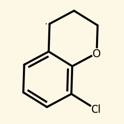 Clc1cccc2c1OCC[CH]2